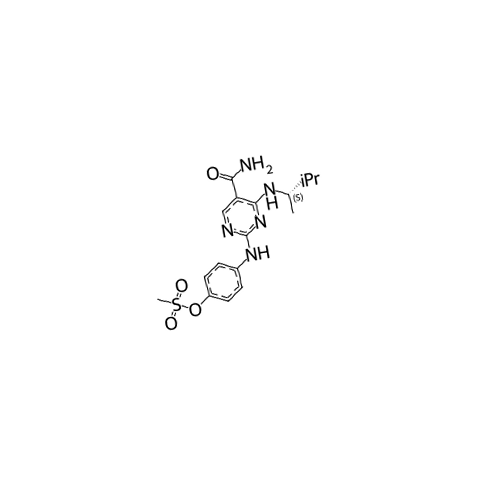 CC(C)[C@H](C)Nc1nc(Nc2ccc(OS(C)(=O)=O)cc2)ncc1C(N)=O